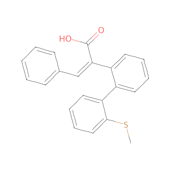 CSc1ccccc1-c1ccccc1/C(=C/c1ccccc1)C(=O)O